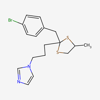 CC1CSC(CCCn2ccnc2)(Cc2ccc(Br)cc2)S1